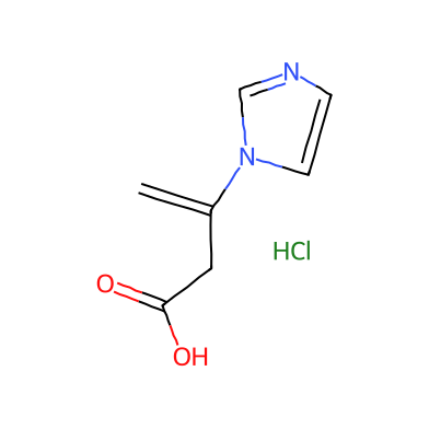 C=C(CC(=O)O)n1ccnc1.Cl